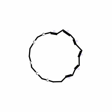 [C]1=C/C=C\C=C\C=C\C=C\C=C\CCCCCCCCCCCC/1